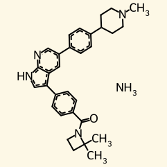 CN1CCC(c2ccc(-c3cnc4[nH]cc(-c5ccc(C(=O)N6CCC6(C)C)cc5)c4c3)cc2)CC1.N